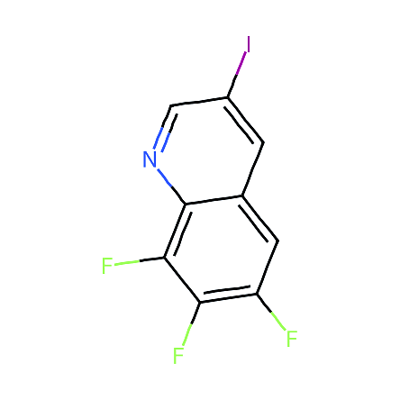 Fc1cc2cc(I)cnc2c(F)c1F